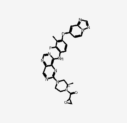 Cc1c(Oc2ccn3ncnc3c2)ccc(Nc2ncnc3cnc(N4CCN(C(=O)C5CO5)[C@H](C)C4)nc23)c1F